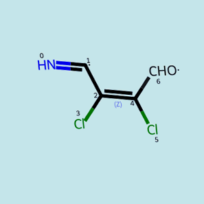 N=[C]/C(Cl)=C(/Cl)[C]=O